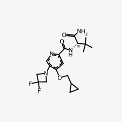 CC(C)(C)[C@H](NC(=O)c1cc(OCC2CC2)c(N2CC(F)(F)C2)cn1)C(N)=O